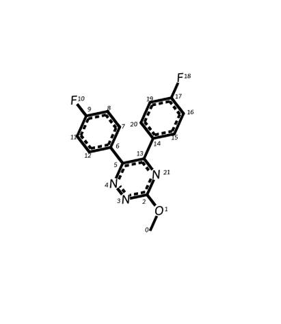 COc1nnc(-c2ccc(F)cc2)c(-c2ccc(F)cc2)n1